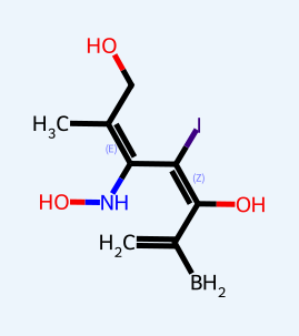 BC(=C)/C(O)=C(I)\C(NO)=C(\C)CO